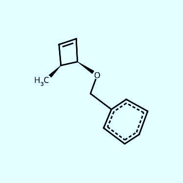 C[C@H]1C=C[C@H]1OCc1ccccc1